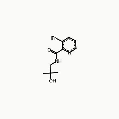 CC(C)c1cccnc1C(=O)NCC(C)(C)O